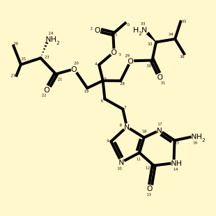 CC(=O)OCC(CCn1cnc2c(=O)[nH]c(N)nc21)(COC(=O)[C@@H](N)C(C)C)COC(=O)[C@@H](N)C(C)C